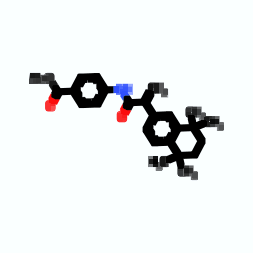 C=C(C(=O)Nc1ccc(C(=O)OC)cc1)c1ccc2c(c1)C(C)(C)CCC2(C)C